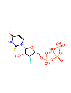 O=c1ccn([C@@H]2O[C@H](COP(=O)(O)OP(=O)(O)OP(=O)(O)O)C(F)[C@@H]2O)c(=S)[nH]1